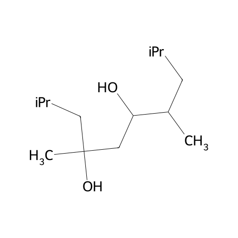 CC(C)CC(C)C(O)CC(C)(O)CC(C)C